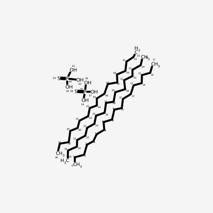 CCCCCCCCCCCCCCCCCC.CCCCCCCCCCCCCCCCCC.CCCCCCCCCCCCCCCCCC.OP(O)(O)=S.OP(O)(O)=S